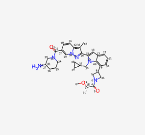 CO[C@@H](C)C(=O)N1CC(c2cccc3cc(-c4nn5cc(C(=O)N6CCC[C@@H](N)C6)ccc5c4C)n(CC4CC4)c23)C1